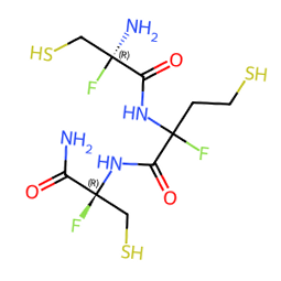 NC(=O)[C@@](F)(CS)NC(=O)C(F)(CCS)NC(=O)[C@@](N)(F)CS